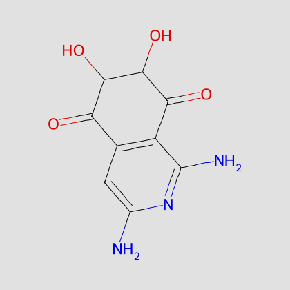 Nc1cc2c(c(N)n1)C(=O)C(O)C(O)C2=O